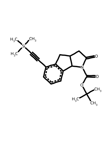 CC(C)(C)OC(=O)N1C(=O)CC2Cc3c(C#C[Si](C)(C)C)cccc3C21